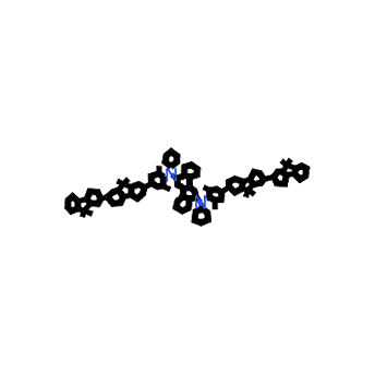 Cc1cc(-c2ccc3c(c2)C(C)(C)c2cc(-c4ccc5c(c4)C(C)(C)c4ccccc4-5)ccc2-3)cc(C)c1N(c1ccccc1)c1cc2c3ccccc3c(N(c3ccccc3)c3c(C)cc(-c4ccc5c(c4)C(C)(C)c4cc(-c6ccc7c(c6)C(C)(C)c6ccccc6-7)ccc4-5)cc3C)cc2c2ccccc12